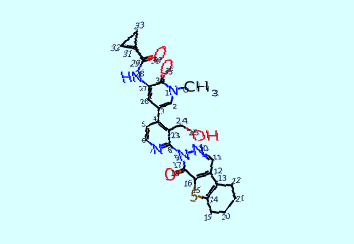 Cn1cc(-c2ccnc(-n3ncc4c5c(sc4c3=O)CCCC5)c2CO)cc(NC(=O)C2CC2)c1=O